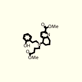 COC(=O)CCCN(CCc1ccccc1O)C1CCCc2nc(C(=O)OC)ccc21